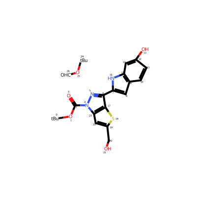 CC(C)(C)OC(=O)n1nc(-c2cc3ccc(O)cc3[nH]2)c2sc(CO)cc21.CC(C)(C)OC=O